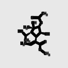 C/C=C(/C(=O)OC)[C@H]1[C@H](O)[C@H](OC(C)=O)[C@](C)(O)[C@H]1C(C)O